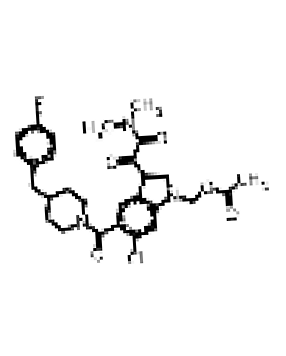 CC(=O)OCN1CC(C(=O)C(=O)N(C)C)c2cc(C(=O)N3CCC(Cc4ccc(F)cc4)CC3)c(Cl)cc21